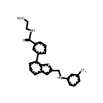 COCCNC(=O)c1cccc(-c2cccc3cc(CNc4cccc(C(F)(F)F)c4)sc23)c1